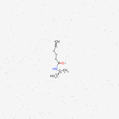 C#CCCCC(=O)N[C@@H](C)C(=O)O